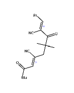 CC(C)/C=C(\C#N)C(=O)C(C)(C)C/C(C#N)=C/C(=O)C(C)(C)C